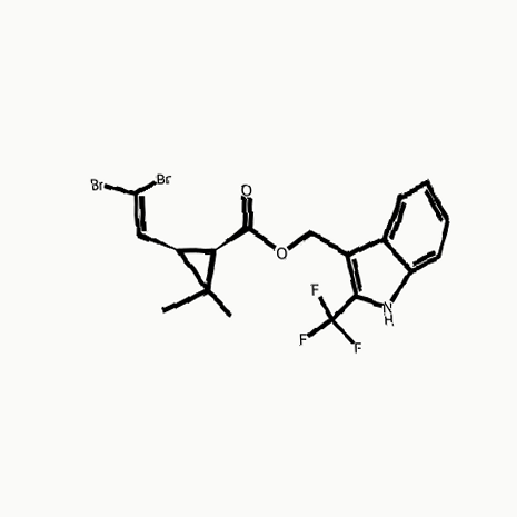 CC1(C)[C@H](C(=O)OCc2c(C(F)(F)F)[nH]c3ccccc23)[C@@H]1C=C(Br)Br